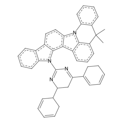 CC1(C)c2ccccc2-n2c3ccc4c5ccccc5n(C5=NC(C6C=CC=CC6)CC(C6=CC=CCC6)=N5)c4c3c3cccc1c32